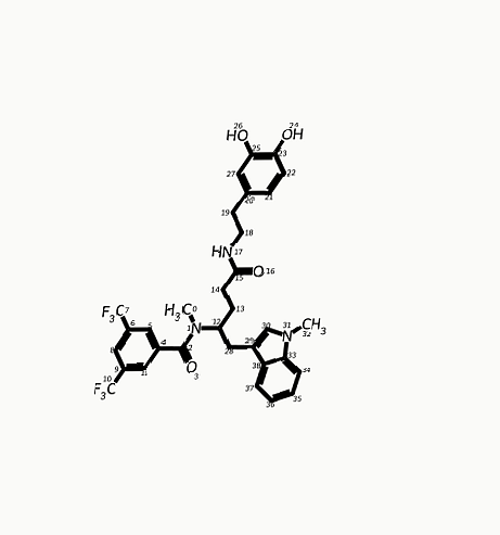 CN(C(=O)c1cc(C(F)(F)F)cc(C(F)(F)F)c1)C(CCC(=O)NCCc1ccc(O)c(O)c1)Cc1cn(C)c2ccccc12